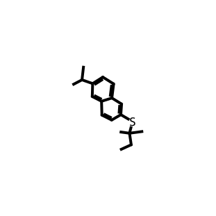 CCC(C)(C)Sc1ccc2cc(C(C)C)ccc2c1